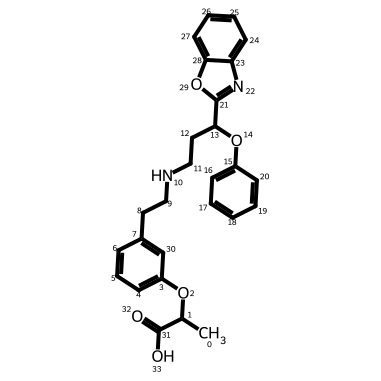 CC(Oc1cccc(CCNCCC(Oc2ccccc2)c2nc3ccccc3o2)c1)C(=O)O